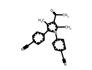 CC(=O)c1c(C)c(-c2ccc(C#N)cc2)n(-c2ccc(C#N)cc2)c1C